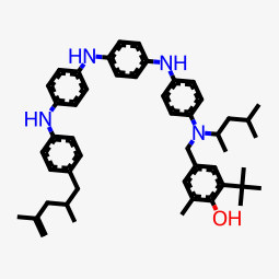 C=C(C)CC(C)Cc1ccc(Nc2ccc(Nc3ccc(Nc4ccc(N(Cc5cc(C)c(O)c(C(C)(C)C)c5)C(C)CC(C)C)cc4)cc3)cc2)cc1